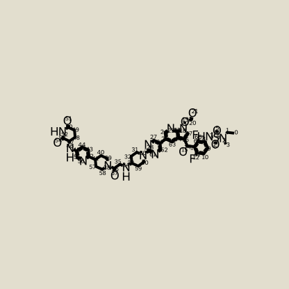 CCN(C)S(=O)(=O)Nc1ccc(F)c(C(=O)c2cn(OC=O)c3ncc(-c4cnc(N5CCC(NCC(=O)N6CCC(c7ccc(NC8CCC(=O)NC8=O)cn7)CC6)CC5)nc4)cc23)c1F